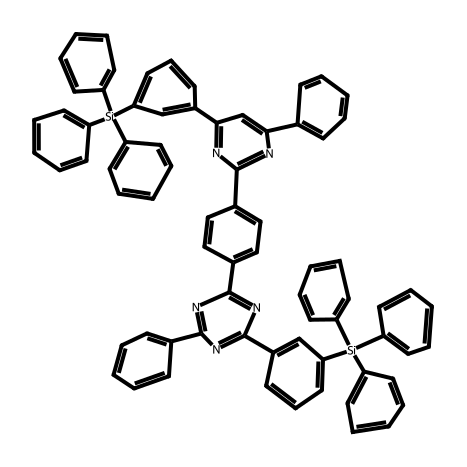 c1ccc(-c2cc(-c3cccc([Si](c4ccccc4)(c4ccccc4)c4ccccc4)c3)nc(-c3ccc(-c4nc(-c5ccccc5)nc(-c5cccc([Si](c6ccccc6)(c6ccccc6)c6ccccc6)c5)n4)cc3)n2)cc1